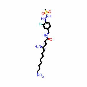 CS(=O)(=O)NNc1ccc(CNC(=O)/C=C/C(N)=C/C=CCCCCCN)cc1F